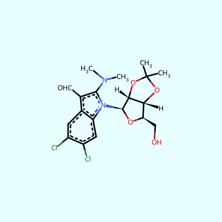 CN(C)c1c(C=O)c2cc(Cl)c(Cl)cc2n1[C@@H]1O[C@H](CO)[C@H]2OC(C)(C)O[C@H]21